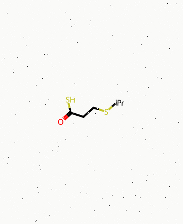 CC(C)SCCC(=O)S